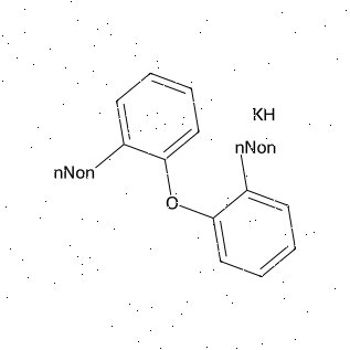 CCCCCCCCCc1ccccc1Oc1ccccc1CCCCCCCCC.[KH]